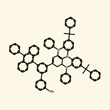 CC(C)(C)c1cccc(-c2cc(C3=CC4=C5B(c6ccc(C(C)(C)c7ccccc7)cc6N4c4ccccc4)c4ccc(C(C)(C)c6ccccc6)cc4N(c4ccccc4)C5C3)cc(-c3c4ccccc4c(-c4ccccc4)c4ccccc34)c2)c1